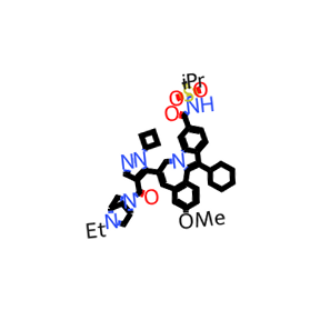 CCN1CC2CC1CN2C(=O)c1cnn(C2CCC2)c1C1=Cc2cc(OC)ccc2-c2c(C3CCCCC3)c3ccc(C(=O)NS(=O)(=O)C(C)C)cc3n2C1